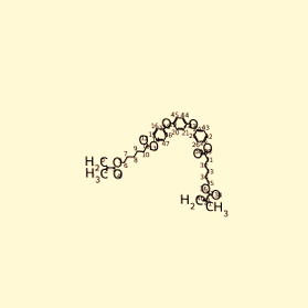 C=C(C)C(=O)OCCCCCC(=O)Oc1ccc(Oc2ccc(Oc3ccc(OC(=O)CCCCCOC(=O)C(=C)C)cc3)cc2)cc1